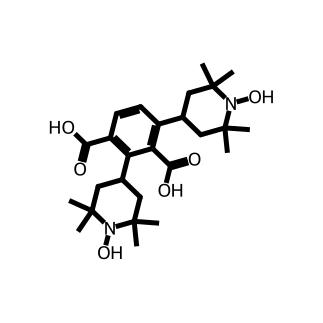 CC1(C)CC(c2ccc(C(=O)O)c(C3CC(C)(C)N(O)C(C)(C)C3)c2C(=O)O)CC(C)(C)N1O